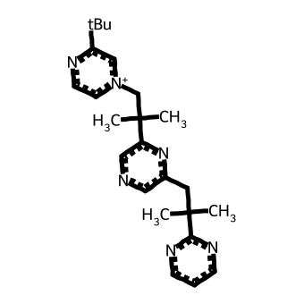 CC(C)(C)c1c[n+](CC(C)(C)c2cncc(CC(C)(C)c3ncccn3)n2)ccn1